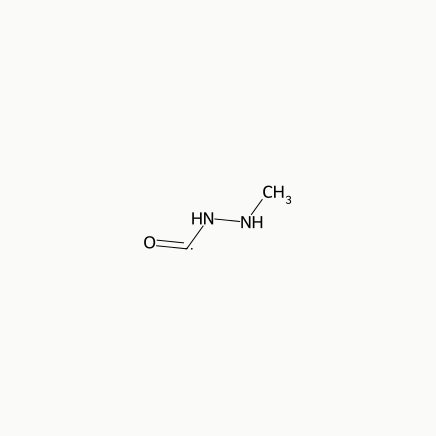 CNN[C]=O